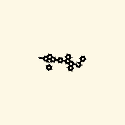 N#Cc1cc2ccc3cc(-c4ccc(-c5cc6c7ccccc7c(-c7cccc(-c8ccccc8)n7)cc6c6ccccc56)cc4)cc4c3c2c(c1)n4-c1ccccc1